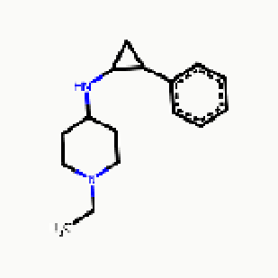 CCN1CCC(NC2CC2c2ccccc2)CC1